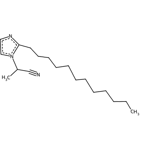 CCCCCCCCCCCCc1nccn1C(C)C#N